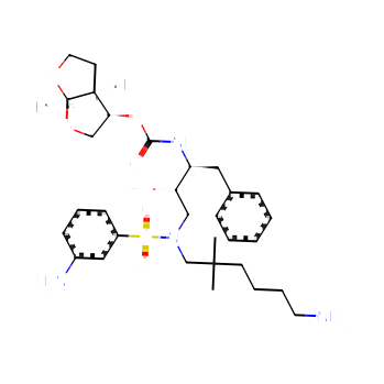 CC(C)(CCCCN)CN(C[C@H](O)[C@H](Cc1ccccc1)NC(=O)O[C@H]1CO[C@H]2OCC[C@H]21)S(=O)(=O)c1cccc(N)c1